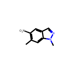 Cc1cc2c(cnn2C)cc1[N+](=O)[O-]